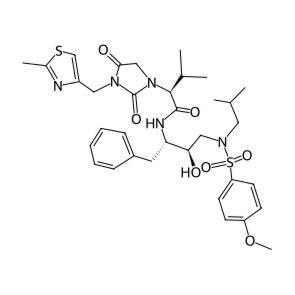 COc1ccc(S(=O)(=O)N(CC(C)C)C[C@@H](O)[C@H](Cc2ccccc2)NC(=O)[C@H](C(C)C)N2CC(=O)N(Cc3csc(C)n3)C2=O)cc1